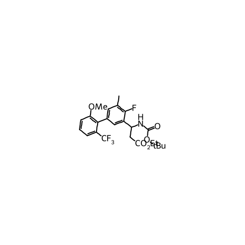 CCOC(=O)CC(NC(=O)OC(C)(C)C)c1cc(-c2c(OC)cccc2C(F)(F)F)cc(C)c1F